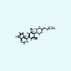 CC(=O)OCCC1CCN(c2c(F)cc(-c3ncnc4[nH]ccc34)cc2F)CC1